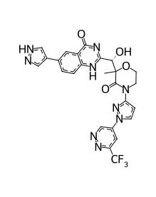 CC1([C@@H](O)c2nc(=O)c3cc(-c4cn[nH]c4)ccc3[nH]2)OCCN(c2ccn(-c3cnnc(C(F)(F)F)c3)n2)C1=O